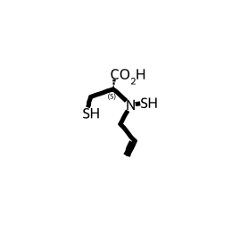 C=CCN(S)[C@H](CS)C(=O)O